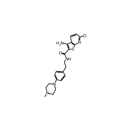 CN1CCN(c2ccc(CCNC(=O)c3sc4nc(Cl)ccc4c3N)cc2)CC1